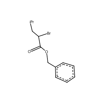 CC(C)CC(Br)C(=O)OCc1ccccc1